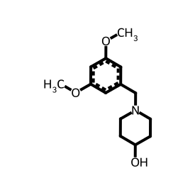 COc1cc(CN2CCC(O)CC2)cc(OC)c1